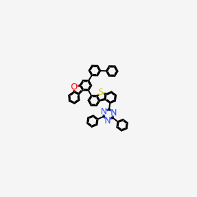 c1ccc(-c2cccc(-c3cc(-c4cccc5c4sc4cccc(-c6nc(-c7ccccc7)nc(-c7ccccc7)n6)c45)c4c(c3)oc3ccccc34)c2)cc1